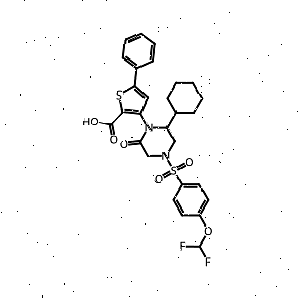 O=C(O)c1sc(-c2ccccc2)cc1N1C(=O)CN(S(=O)(=O)c2ccc(OC(F)F)cc2)CC1C1CCCCC1